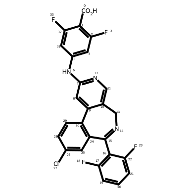 O=C(O)c1c(F)cc(Nc2cc3c(cn2)CN=C(c2c(F)cccc2F)c2cc(Cl)ccc2-3)cc1F